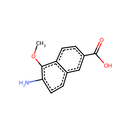 COc1c(N)ccc2cc(C(=O)O)ccc12